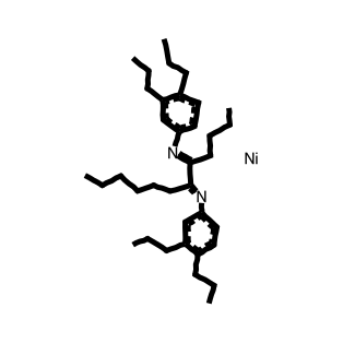 CCCCCCC(=Nc1ccc(CCC)c(CCC)c1)C(CCCC)=Nc1ccc(CCC)c(CCC)c1.[Ni]